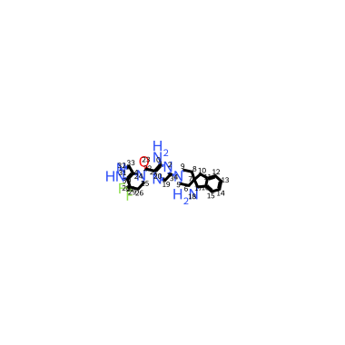 Nc1nc(N2CCC3(CC2)Cc2ccccc2C3N)cnc1C(=O)N1CCC(F)(F)c2[nH]ncc21